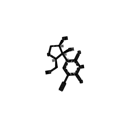 C#Cc1cn([C@@]2(O)[C@H](O)CO[C@@H]2CO)c(=O)[nH]c1=O